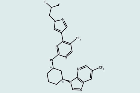 FC(F)Cn1cc(-c2nc(N[C@@H]3CCC[C@H](n4cnc5cc(C(F)(F)F)cnc54)C3)ncc2C(F)(F)F)cn1